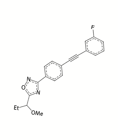 CCC(OC)c1nc(-c2ccc(C#Cc3cccc(F)c3)cc2)no1